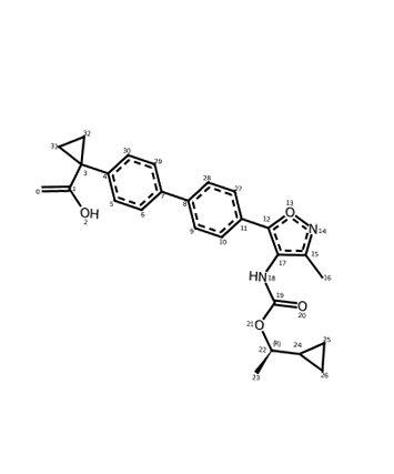 C=C(O)C1(c2ccc(-c3ccc(-c4onc(C)c4NC(=O)O[C@H](C)C4CC4)cc3)cc2)CC1